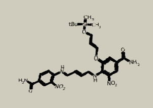 CC(C)(C)[Si](C)(C)OCCCOc1cc(C(N)=O)cc([N+](=O)[O-])c1NCC=CCNc1ccc(C(N)=O)cc1[N+](=O)[O-]